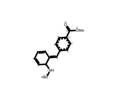 CCCCNC1C=CC=CC1=Cc1ccc(C(=O)OC)cc1